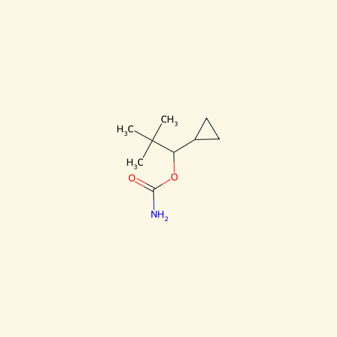 CC(C)(C)C(OC(N)=O)C1CC1